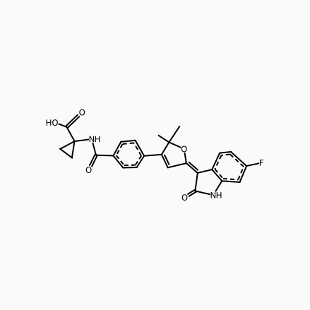 CC1(C)O/C(=C2/C(=O)Nc3cc(F)ccc32)C=C1c1ccc(C(=O)NC2(C(=O)O)CC2)cc1